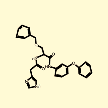 O=C(Cc1c[nH]cn1)NC(COCc1ccccc1)C(=O)Nc1cccc(Oc2ccccc2)c1